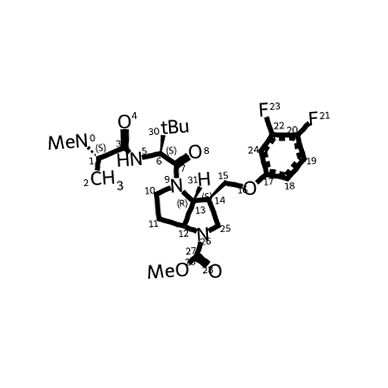 CN[C@@H](C)C(=O)N[C@H](C(=O)N1CCC2[C@H]1[C@@H](COc1ccc(F)c(F)c1)CN2C(=O)OC)C(C)(C)C